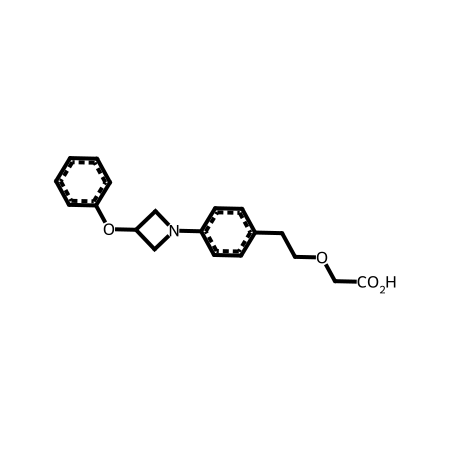 O=C(O)COCCc1ccc(N2CC(Oc3ccccc3)C2)cc1